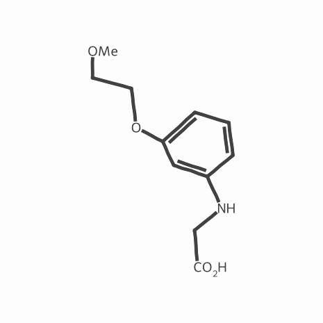 COCCOc1cccc(NCC(=O)O)c1